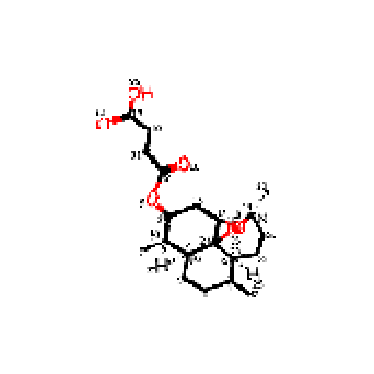 CC1CC[C@H]2[C@@H](C)C(OC(=O)CCC(=O)O)CC3O[C@]4(C)CC[C@@H]1C32OO4